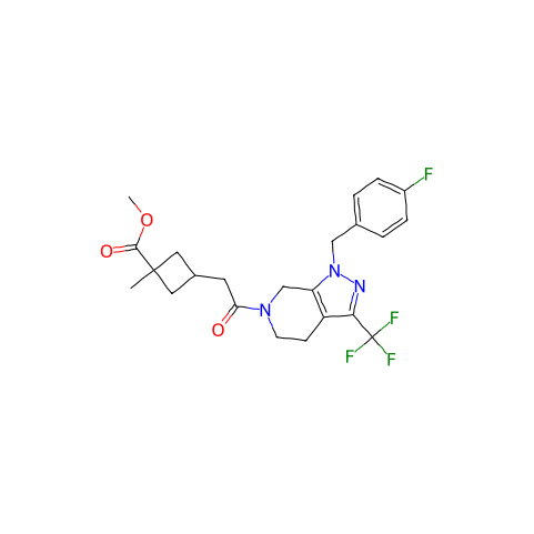 COC(=O)C1(C)CC(CC(=O)N2CCc3c(C(F)(F)F)nn(Cc4ccc(F)cc4)c3C2)C1